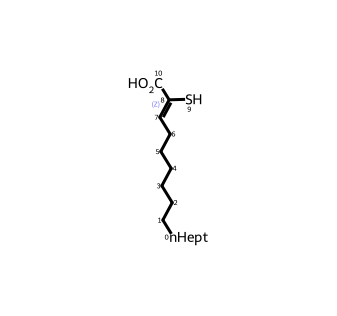 CCCCCCCCCCCCC/C=C(\S)C(=O)O